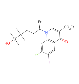 CCOC(=O)c1cn(C(CC)CCC(C)(C)[Si](C)(C)O)c2cc(F)c(I)cc2c1=O